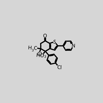 CC1(C)CC(=O)c2sc(-c3ccncc3)cc2C1(O)c1ccc(Cl)cc1